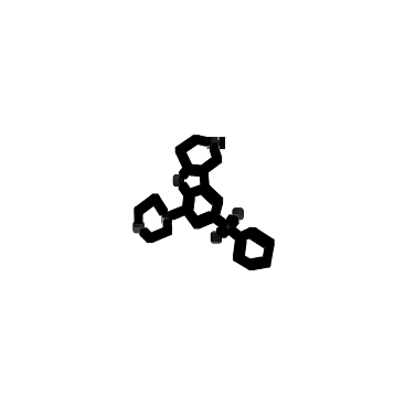 O=S(=O)(c1ccccc1)c1cc(N2CCOCC2)c2oc3c(c2c1)CNCC3